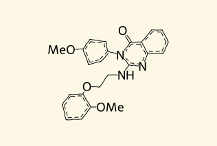 COc1ccc(-n2c(NCCOc3ccccc3OC)nc3ccccc3c2=O)cc1